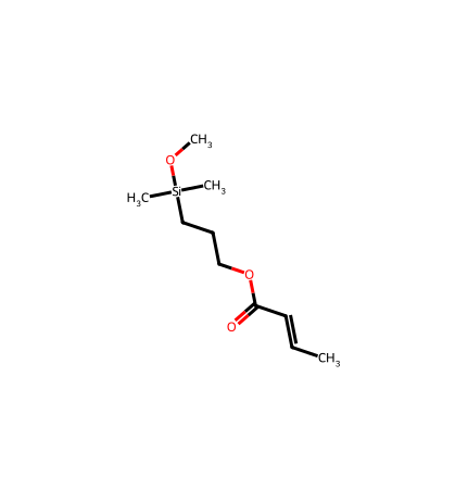 CC=CC(=O)OCCC[Si](C)(C)OC